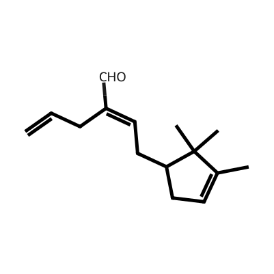 C=CC/C(C=O)=C\CC1CC=C(C)C1(C)C